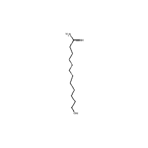 N=C(N)CCCCCCCCCCCO